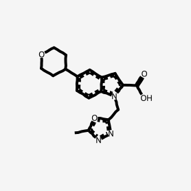 Cc1nnc(Cn2c(C(=O)O)cc3cc(C4CCOCC4)ccc32)o1